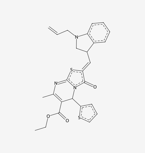 C=CCN1CC(/C=c2\sc3n(c2=O)C(c2cccs2)C(C(=O)OCC)=C(C)N=3)c2ccccc21